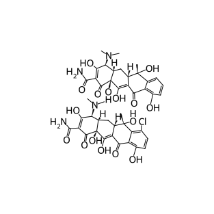 CN(C)[C@@H]1C(O)=C(C(N)=O)C(=O)[C@@]2(O)C(O)=C3C(=O)c4c(O)ccc(Cl)c4[C@@](C)(O)[C@H]3C[C@@H]12.CN(C)[C@@H]1C(O)=C(C(N)=O)C(=O)[C@@]2(O)C(O)=C3C(=O)c4c(O)cccc4[C@@](C)(O)[C@H]3C[C@@H]12